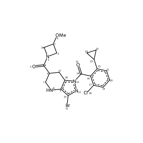 COC1CN(C(=O)C2CNc3c(Br)nn(C(=O)c4c(Cl)cccc4C4CC4)c3C2)C1